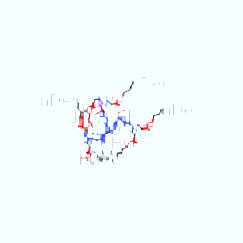 CCCCCCCCCCCCCCOC(=O)CCN(CCC(=O)OC)CCN(C)CCN(CCN(C)CCN(CCC(=O)OCCCCCCCCCCCCCC)CCC(=O)OCCCCCCCCCCCCCC)CCN(C)CCN(CCC(=O)OCCCCCCCCCCCCCC)CCC(=O)OCCCCCCCCCCCCCC